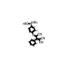 CCCCN(CCCC)c1ccc(N=C(C#N)C(=C(C#N)C#N)c2ccccc2)cc1